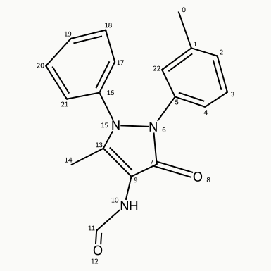 Cc1cccc(-n2c(=O)c(NC=O)c(C)n2-c2ccccc2)c1